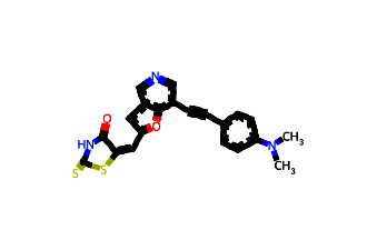 CN(C)c1ccc(C#Cc2cncc3cc(/C=C4/SC(=S)NC4=O)oc23)cc1